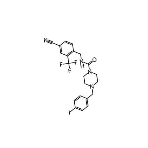 N#Cc1ccc(CNC(=O)N2CCN(Cc3ccc(I)cc3)CC2)c(C(F)(F)F)c1